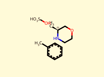 C[C@H]1COCCN1.Cc1ccccc1.O=S(=O)(O)O